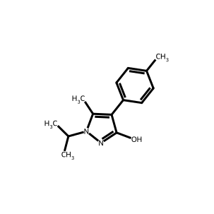 Cc1ccc(-c2c(O)nn(C(C)C)c2C)cc1